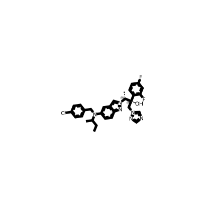 CCC(C)N(Cc1ccc(Cl)cc1)c1ccc2nn([C@H](C)[C@](O)(Cn3cncn3)c3ccc(F)cc3F)cc2c1